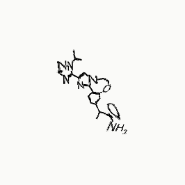 CC(C(N)=O)c1ccc2c(c1)OCCn1cc(-c3ncnn3C(C)C)nc1-2